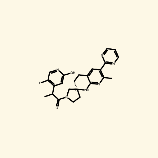 Cc1nc2c(cc1-c1ncccn1)CC[C@@]1(CCN(C(=O)C(C)c3cc(O)ncc3F)C1)N2